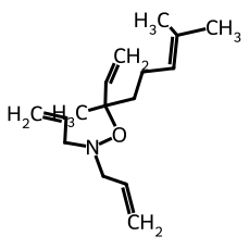 C=CCN(CC=C)OC(C)(C=C)CCC=C(C)C